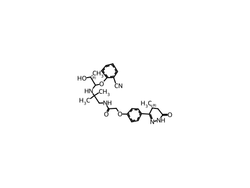 C[C@@H]1CC(=O)NN=C1c1ccc(OCC(=O)NCC(C)(C)NC(Oc2ccccc2C#N)[C@@H](C)O)cc1